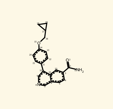 NC(=O)c1ccc2cncc(-c3ccc(OCC4CC4)cc3)c2c1